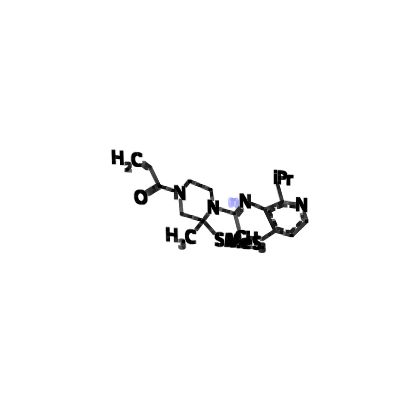 C=CC(=O)N1CCN(/C(C)=N/c2c(SC)ccnc2C(C)C)C(C)(SC)C1